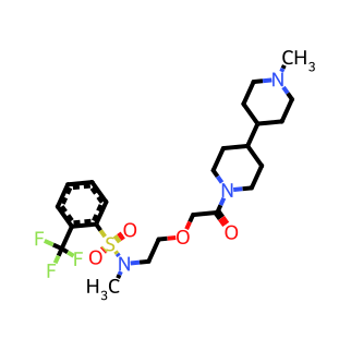 CN1CCC(C2CCN(C(=O)COCCN(C)S(=O)(=O)c3ccccc3C(F)(F)F)CC2)CC1